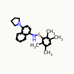 Cc1cc(C)c(C)c(SNc2ccc(N3CCCC3)c3ccccc23)c1C